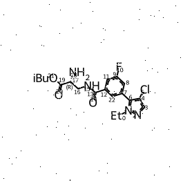 CCn1ncc(Cl)c1-c1cc(F)cc(C(=O)NC[C@@H](N)C(=O)OCC(C)C)c1